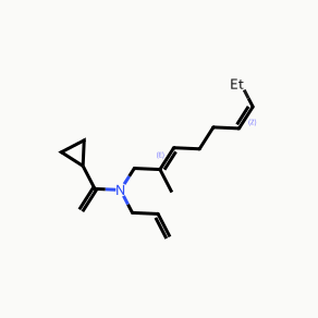 C=CCN(C/C(C)=C/CC/C=C\CC)C(=C)C1CC1